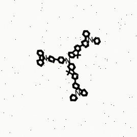 CC1(C)c2cc(-c3ccc4c(c3)c3ccccc3n4-c3ccccc3)ccc2-c2ccc(N(c3ccc(-c4ccc(-n5c6ccccc6c6ccccc65)cc4)cc3)c3ccc4c(c3)C(C)(C)c3cc(-c5ccc6c(c5)c5ccccc5n6-c5ccccc5)ccc3-4)cc21